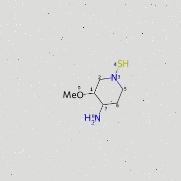 COC1CN(S)CCC1N